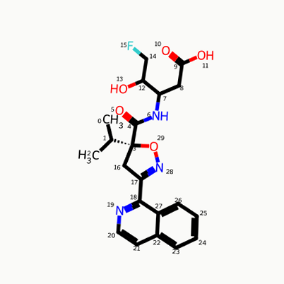 CC(C)[C@@]1(C(=O)NC(CC(=O)O)C(O)CF)CC(c2nccc3ccccc23)=NO1